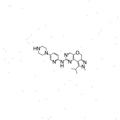 CC(C)c1c2c(nn1C)COc1cnc(Nc3ccc(N4CCNCC4)cn3)nc1-2